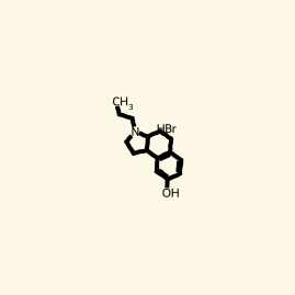 Br.CCCN1CCC2c3cc(O)ccc3CCC21